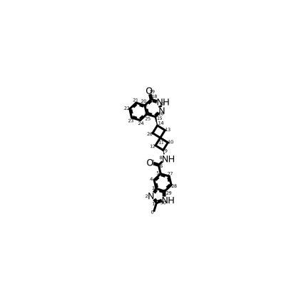 Cc1nc2cc(C(=O)N[C@H]3CC4(C3)C[C@H](c3n[nH]c(=O)c5ccccc53)C4)ccc2[nH]1